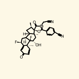 C[C@@H]1C[C@H]2[C@@H]3C[C@H](F)C4=CC(=O)C=C[C@]4(C)[C@@]3(F)[C@@H](O)C[C@]2(C)[C@@]1(OC(=O)c1ccc(C#N)cc1)C(=O)OCC#N